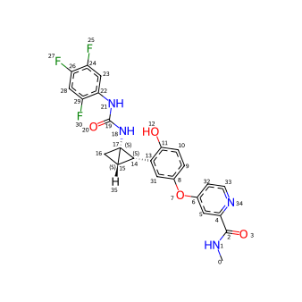 CNC(=O)c1cc(Oc2ccc(O)c([C@@H]3[C@@H]4C[C@@]34NC(=O)Nc3cc(F)c(F)cc3F)c2)ccn1